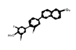 CCCc1ccc2cc(-c3ccc(-c4cc(F)c(OC)c(F)c4)c(F)c3)ccc2c1